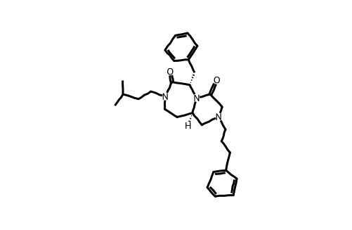 CC(C)CCN1CC[C@@H]2CN(CCCc3ccccc3)CC(=O)N2[C@@H](Cc2ccccc2)C1=O